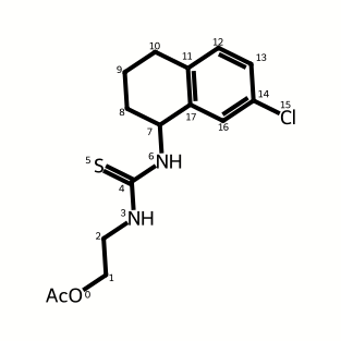 CC(=O)OCCNC(=S)NC1CCCc2ccc(Cl)cc21